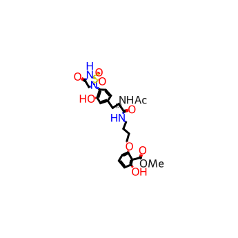 COC(=O)c1c(O)cccc1OCCCCNC(=O)[C@H](Cc1ccc(N2CC(=O)NS2(=O)=O)c(O)c1)NC(C)=O